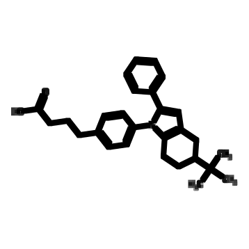 CC(C)(C)C1CCc2c(cc(-c3ccccc3)n2-c2ccc(CCCC(=O)O)cc2)C1